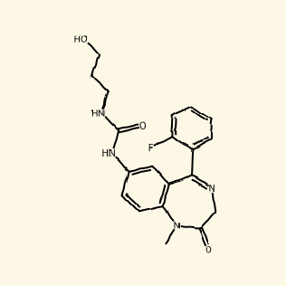 CN1C(=O)CN=C(c2ccccc2F)c2cc(NC(=O)NCCCO)ccc21